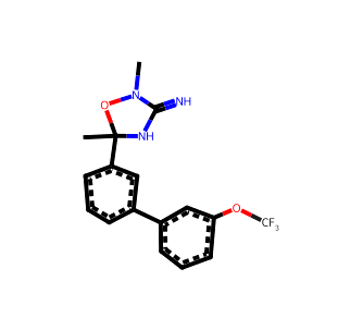 CN1OC(C)(c2cccc(-c3cccc(OC(F)(F)F)c3)c2)NC1=N